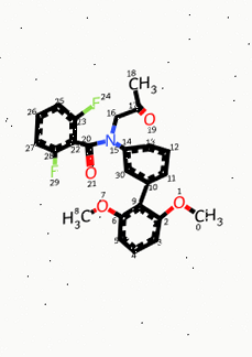 COc1cccc(OC)c1-c1cccc(N(CC(C)=O)C(=O)c2c(F)cccc2F)c1